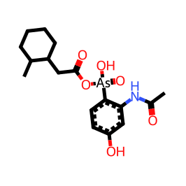 CC(=O)Nc1cc(O)ccc1[As](=O)(O)OC(=O)CC1CCCCC1C